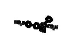 O=C(O)c1ccc(-c2ccc(S(=O)(=O)N[C@H](Cc3ccccc3)C(=O)O)cc2)cc1